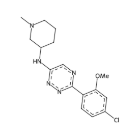 COc1cc(Cl)ccc1-c1ncc(NC2CCCN(C)C2)nn1